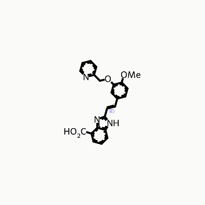 COc1ccc(/C=C/c2nc3c(C(=O)O)cccc3[nH]2)cc1OCc1ccccn1